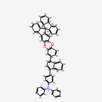 c1ccc(N(c2ccccc2)c2ccc(-c3ccc(-c4ccc5c(c4)Oc4cc6c(cc4O5)C4(c5ccccc5-c5ccccc54)c4ccccc4-6)c4ccccc34)cc2)cc1